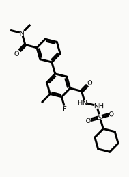 Cc1cc(-c2cccc(C(=O)N(C)C)c2)cc(C(=O)NNS(=O)(=O)C2CCCCC2)c1F